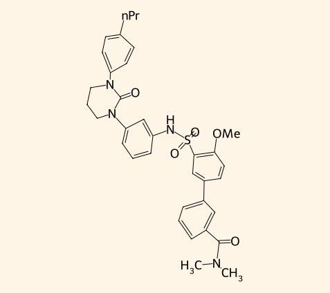 CCCc1ccc(N2CCCN(c3cccc(NS(=O)(=O)c4cc(-c5cccc(C(=O)N(C)C)c5)ccc4OC)c3)C2=O)cc1